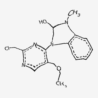 COc1cnc(Cl)nc1N1c2ccccc2N(C)C1O